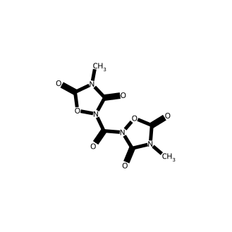 Cn1c(=O)on(C(=O)n2oc(=O)n(C)c2=O)c1=O